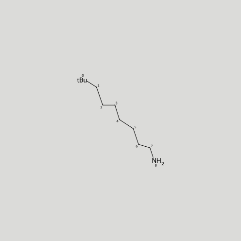 CC(C)(C)CCCCCCCN